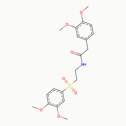 COc1ccc(CC(=O)NCCS(=O)(=O)c2ccc(OC)c(OC)c2)cc1OC